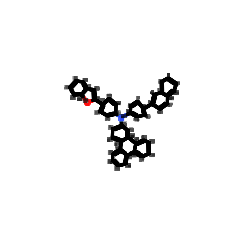 c1ccc2cc(-c3ccc(N(c4ccc(-c5cc6ccccc6o5)cc4)c4ccc5c6ccccc6c6ccccc6c5c4)cc3)ccc2c1